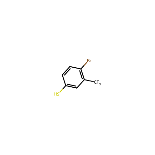 FC(F)(F)c1cc(S)ccc1Br